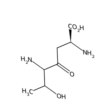 CC(O)C(N)C(=O)C[C@H](N)C(=O)O